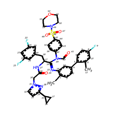 Cc1ccc(-c2ccc(F)cc2C)cc1/N=C(/C(Cc1cc(F)cc(F)c1)NC(=O)Cn1ccc(C2CC2)n1)N(C=O)c1ccc(S(=O)(=O)N2CCOCC2)cc1